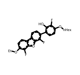 CCCCCCOc1ccc(-c2ccc3c(oc4c(F)c(OCC)ccc43)c2F)c(O)c1F